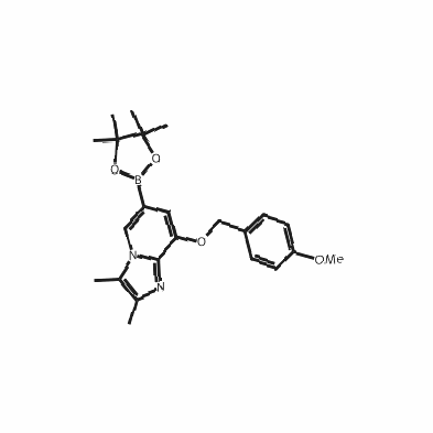 COc1ccc(COc2cc(B3OC(C)(C)C(C)(C)O3)cn3c(C)c(C)nc23)cc1